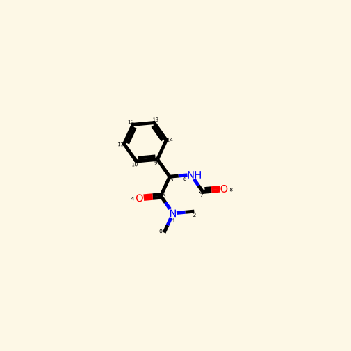 CN(C)C(=O)C(N[C]=O)c1ccccc1